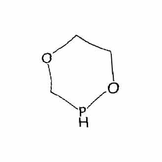 C1COPCO1